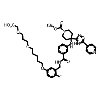 CC(C)(C)OC(=O)N1CCC(Nc2cccc(C(=O)NCc3cc(OCCCCCOCCCOCC(=O)O)ccc3F)c2)(c2nnc(-c3ccncc3)[nH]2)CC1